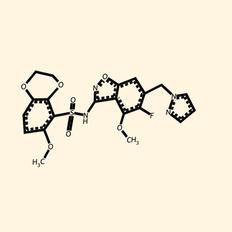 COc1ccc2c(c1S(=O)(=O)Nc1noc3cc(Cn4cccn4)c(F)c(OC)c13)OCCO2